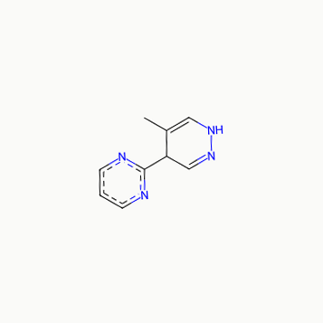 CC1=CNN=CC1c1ncccn1